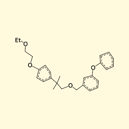 CCOCCOc1ccc(C(C)(C)COCc2cccc(Oc3ccccc3)c2)cc1